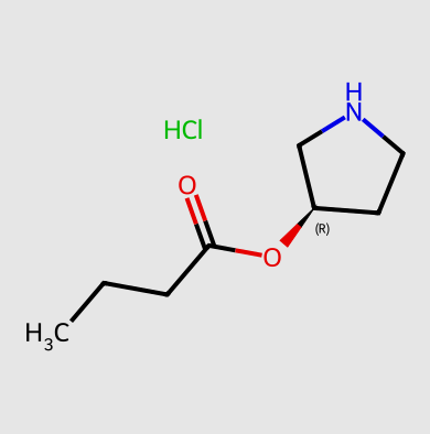 CCCC(=O)O[C@@H]1CCNC1.Cl